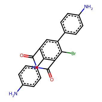 Nc1ccc(-c2cc3c(-c4ccc(N)cc4)c(c2Br)C(=O)NC3=O)cc1